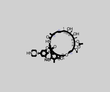 CO[C@H]1/C=C/O[C@@]2(C)Oc3c(C)c(O)c4c(=O)c(c5oc6cc(N7CCNCC7)cc(O)c6nc-5c4c3C2=O)NC(=O)/C(C)=C\C=C\[C@H](C)[C@H](O)[C@@H](C)[C@@H](O)[C@@H](C)[C@H](OC(C)=O)[C@@H]1C